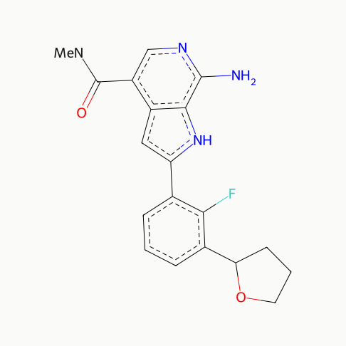 CNC(=O)c1cnc(N)c2[nH]c(-c3cccc(C4CCCO4)c3F)cc12